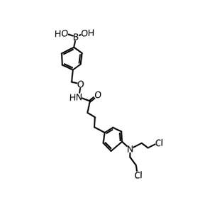 O=C(CCCc1ccc(N(CCCl)CCCl)cc1)NOCc1ccc(B(O)O)cc1